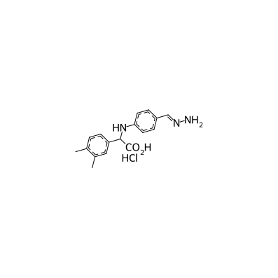 Cc1ccc(C(Nc2ccc(C=NN)cc2)C(=O)O)cc1C.Cl